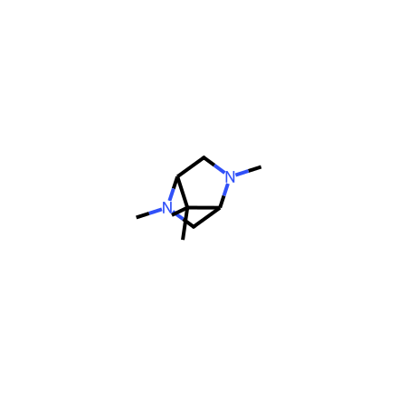 CN1CC2N(C)CC1C2(C)C